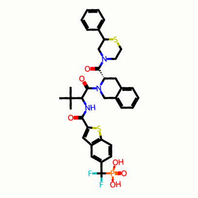 CC(C)(C)C(NC(=O)c1cc2cc(C(F)(F)P(=O)(O)O)ccc2s1)C(=O)N1Cc2ccccc2C[C@H]1C(=O)N1CCSC(c2ccccc2)C1